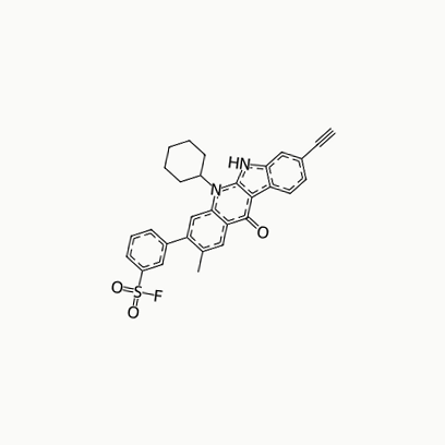 C#Cc1ccc2c(c1)[nH]c1c2c(=O)c2cc(C)c(-c3cccc(S(=O)(=O)F)c3)cc2n1C1CCCCC1